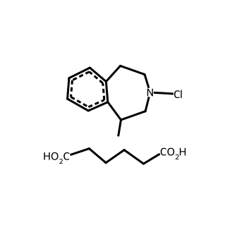 CC1CN(Cl)CCc2ccccc21.O=C(O)CCCCC(=O)O